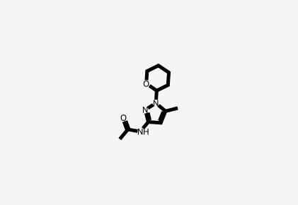 CC(=O)Nc1cc(C)n(C2CCCCO2)n1